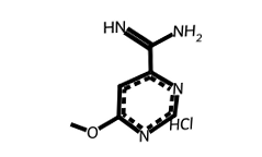 COc1cc(C(=N)N)ncn1.Cl